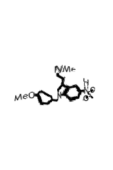 CNCCc1cn(Cc2ccc(OC)cc2)c2ccc(NS(C)(=O)=O)cc12